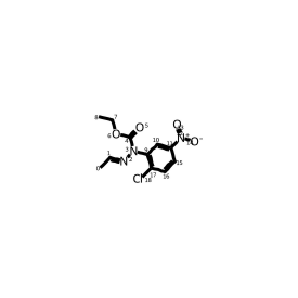 CC=NN(C(=O)OCC)c1cc([N+](=O)[O-])ccc1Cl